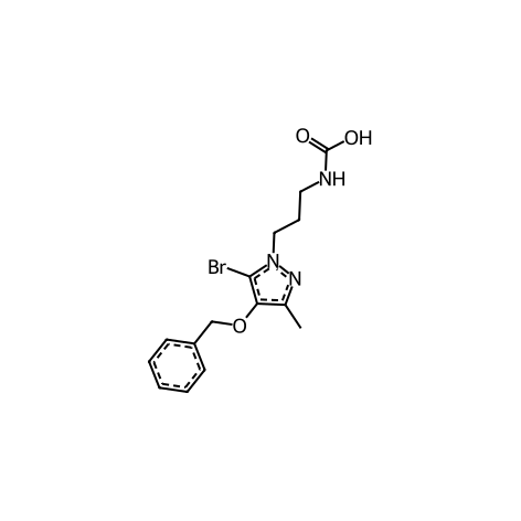 Cc1nn(CCCNC(=O)O)c(Br)c1OCc1ccccc1